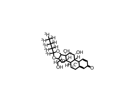 [2H]C([2H])([2H])C([2H])([2H])C([2H])([2H])C1([2H])O[C@@H]2C[C@H]3[C@@H]4CCC5=CC(=O)C=C[C@]5(C)[C@H]4[C@@H](O)C[C@]3(C)[C@]2(C(=O)CO)O1